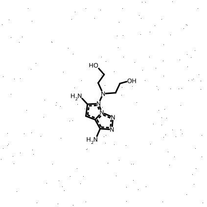 Nc1nnn2c1cc(N)n2N(CCO)CCO